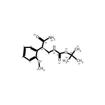 COc1ccccc1[C@H](CNC(=O)OC(C)(C)C)C(N)=O